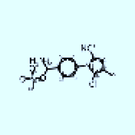 Cc1cc(C#N)n(-c2ccc(C(N)OS(C)(=O)=O)cc2)c1Cl